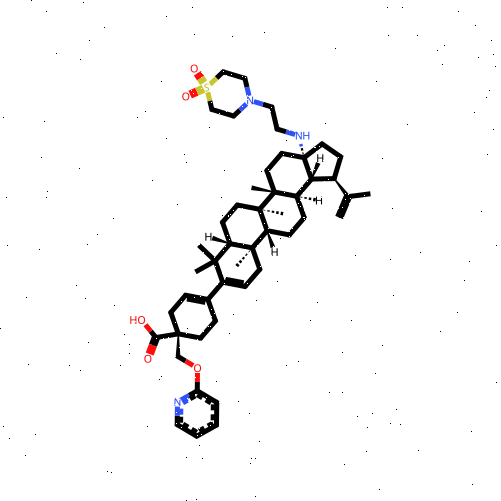 C=C(C)[C@@H]1CC[C@]2(NCCN3CCS(=O)(=O)CC3)CC[C@]3(C)[C@H](CC[C@@H]4[C@@]5(C)CC=C(C6=CC[C@@](COc7ccccn7)(C(=O)O)CC6)C(C)(C)[C@@H]5CC[C@]43C)[C@@H]12